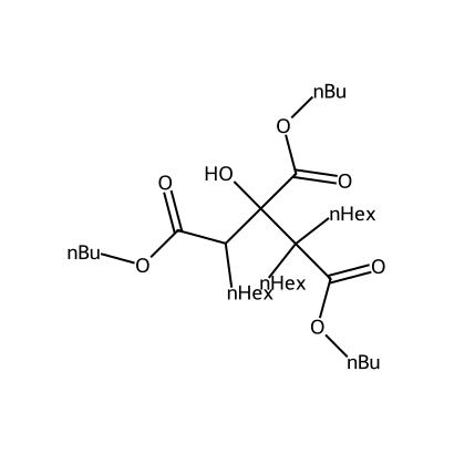 CCCCCCC(C(=O)OCCCC)C(O)(C(=O)OCCCC)C(CCCCCC)(CCCCCC)C(=O)OCCCC